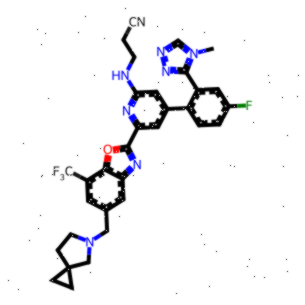 Cn1cnnc1-c1cc(F)ccc1-c1cc(NCCC#N)nc(-c2nc3cc(CN4CCC5(CC5)C4)cc(C(F)(F)F)c3o2)c1